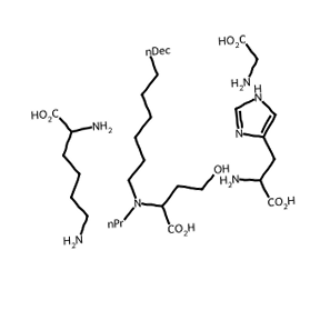 CCCCCCCCCCCCCCCCN(CCC)C(CCO)C(=O)O.NC(Cc1c[nH]cn1)C(=O)O.NCC(=O)O.NCCCCC(N)C(=O)O